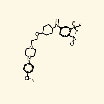 Cc1ccc(N2CCN(CCOC3CCC(Nc4ccc(N=O)c(C(F)(F)F)c4)CC3)CC2)cc1